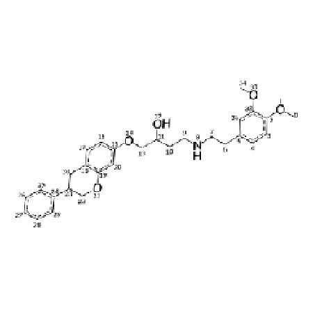 COc1ccc(CCNCCC(O)COc2ccc3c(c2)OCC(c2ccccc2)C3)cc1OC